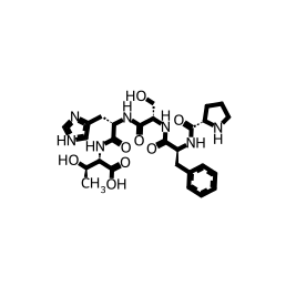 C[C@@H](O)[C@H](NC(=O)[C@H](Cc1c[nH]cn1)NC(=O)[C@H](CO)NC(=O)[C@H](Cc1ccccc1)NC(=O)[C@@H]1CCCN1)C(=O)O